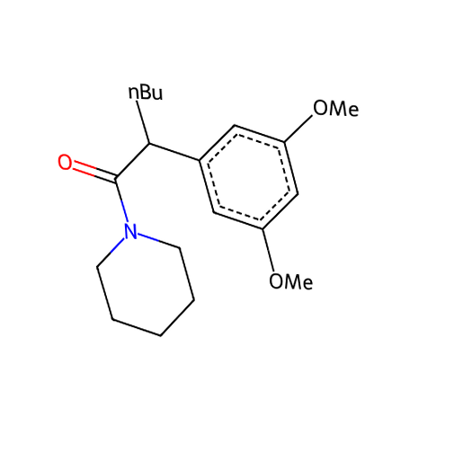 CCCCC(C(=O)N1CCCCC1)c1cc(OC)cc(OC)c1